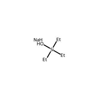 CC[Si](O)(CC)CC.[NaH]